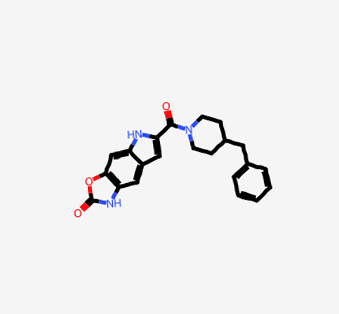 O=C(c1cc2cc3[nH]c(=O)oc3cc2[nH]1)N1CCC(Cc2ccccc2)CC1